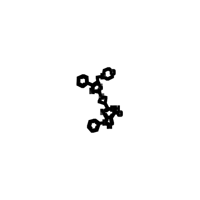 O=c1[nH]c(C2CN(c3nc(-c4ccccc4)c(CN4CCOCC4)s3)C2)nc2c1cnn2-c1ccccc1